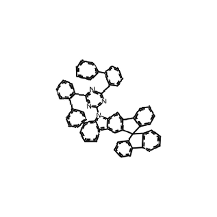 c1ccc(-c2ccccc2-c2nc(-c3ccccc3-c3ccccc3)nc(-n3c4ccccc4c4cc5c(cc43)-c3ccccc3C53c4ccccc4-c4ccccc43)n2)cc1